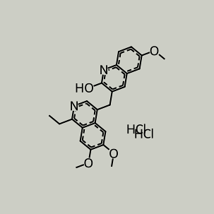 CCc1ncc(Cc2cc3cc(OC)ccc3nc2O)c2cc(OC)c(OC)cc12.Cl.Cl